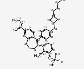 COC(=O)c1ccc2c(c1)CCCC(c1cccc(OC(F)(F)F)c1C)=C2c1ccc(CC2CN(CCCF)C2)cc1